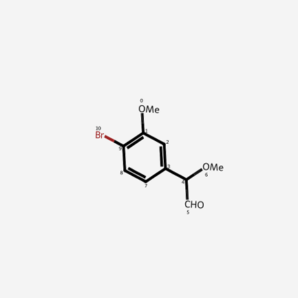 COc1cc(C(C=O)OC)ccc1Br